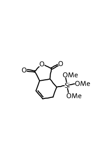 CO[Si](OC)(OC)C1CC=CC2C(=O)OC(=O)C21